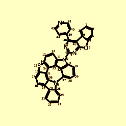 c1ccc2c(c1)oc1nc(-n3c4ccc5sc6ccc7c8ccccc8n8c9cccc3c9c4c5c6c78)nc(-c3ccncc3)c12